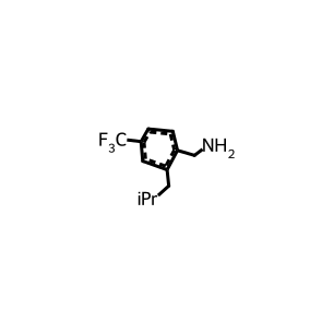 CC(C)Cc1cc(C(F)(F)F)ccc1CN